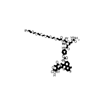 CC[C@@]1(O)C(=O)OCc2c1cc1n(c2=O)Cc2c-1nc1cc(F)c(C)c3c1c2[C@@H](NC(=O)Oc1ccc(NC(=O)[C@H](CCCNC(N)=O)NC(=O)[C@@H](NC(=O)CCOCCOCCOCCOCCOCCOCCC(C)C)C(C)C)cc1)CC3